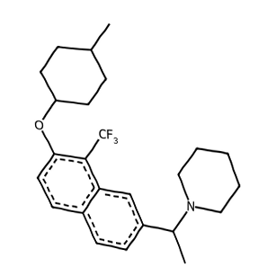 CC1CCC(Oc2ccc3ccc(C(C)N4CCCCC4)cc3c2C(F)(F)F)CC1